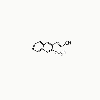 N#CC=Cc1cc2ccccc2cc1C(=O)O